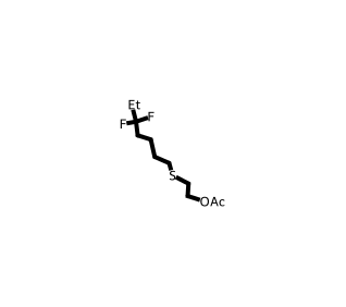 CCC(F)(F)CCCCSCCOC(C)=O